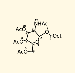 CCCCCCCCOC1OC(COC(C)=O)C(OC(C)=O)C(OC(C)=O)C1NC(C)=O